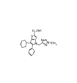 Cn1cnc(Cn2c(-c3ccccc3)c(C3CCCCC3)c3sc(C(=O)O)cc32)n1